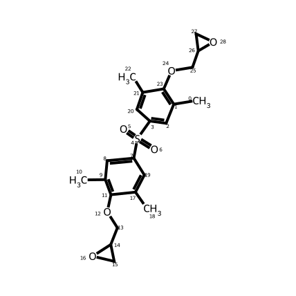 Cc1cc(S(=O)(=O)c2cc(C)c(OCC3CO3)c(C)c2)cc(C)c1OCC1CO1